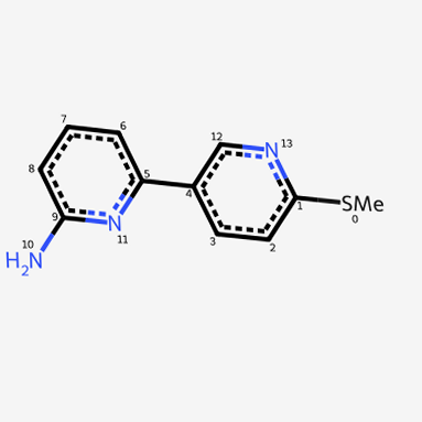 CSc1ccc(-c2cccc(N)n2)cn1